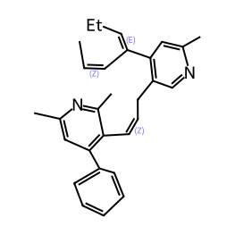 C/C=C\C(=C/CC)c1cc(C)ncc1C/C=C\c1c(-c2ccccc2)cc(C)nc1C